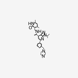 C=C(NCc1c(C)cc(C)[nH]c1=O)c1cc(-c2cccc(CN3CCN(C)CC3)c2)nc2c1cnn2C(C)C